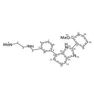 CNCCNCc1cccc(-c2cccc3nc(-c4ccccc4OC)[nH]c23)c1